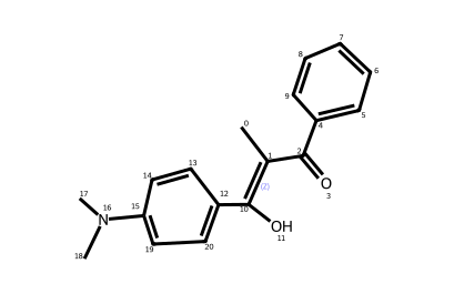 C/C(C(=O)c1ccccc1)=C(/O)c1ccc(N(C)C)cc1